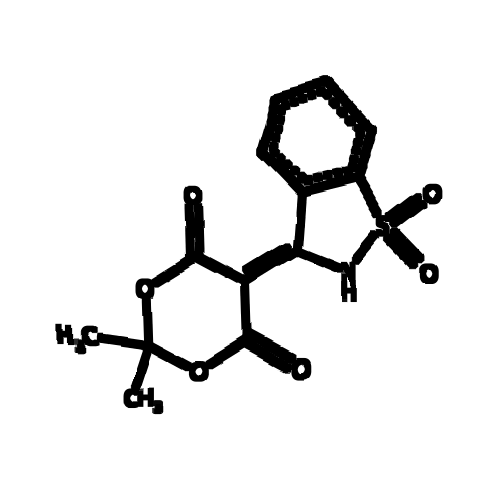 CC1(C)OC(=O)C(=C2NS(=O)(=O)c3ccccc32)C(=O)O1